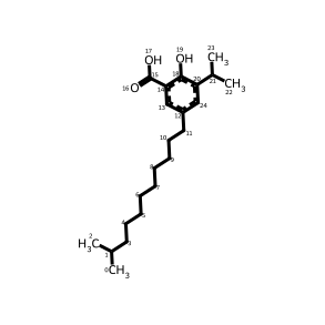 CC(C)CCCCCCCCCc1cc(C(=O)O)c(O)c(C(C)C)c1